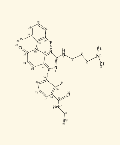 CCN(CC)CCCNc1nc(-c2cccc(C(=O)NCC(C)C)c2C)c2ccc(=O)n(-c3c(F)cccc3F)c2n1